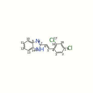 Clc1ccc(C=Cc2nc3ccccc3[nH]2)c(Cl)c1